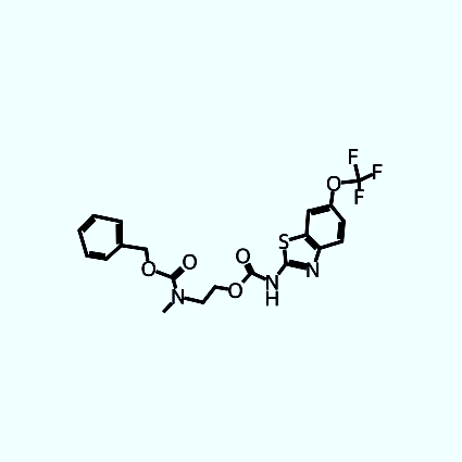 CN(CCOC(=O)Nc1nc2ccc(OC(F)(F)F)cc2s1)C(=O)OCc1ccccc1